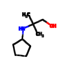 CC(C)(CO)NC1CCCC1